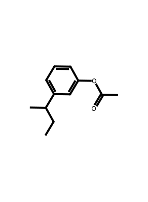 CCC(C)c1cccc(OC(C)=O)c1